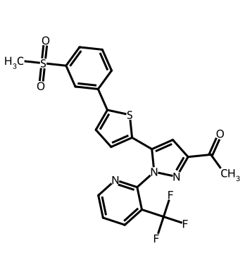 CC(=O)c1cc(-c2ccc(-c3cccc(S(C)(=O)=O)c3)s2)n(-c2ncccc2C(F)(F)F)n1